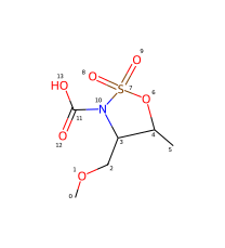 COCC1C(C)OS(=O)(=O)N1C(=O)O